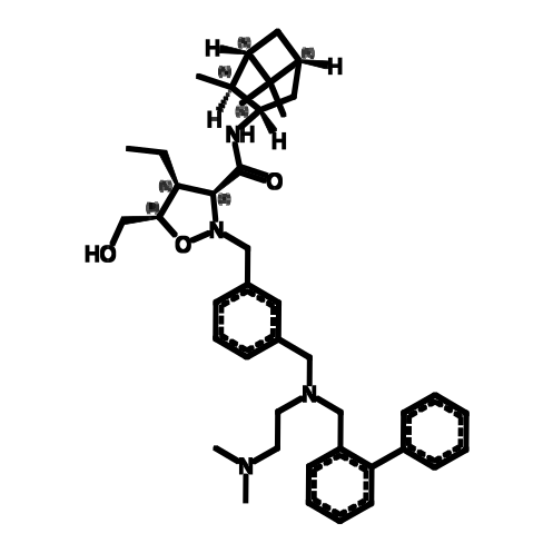 CC[C@@H]1[C@H](CO)ON(Cc2cccc(CN(CCN(C)C)Cc3ccccc3-c3ccccc3)c2)[C@@H]1C(=O)N[C@H]1C[C@H]2C[C@@H]([C@@H]1C)C2(C)C